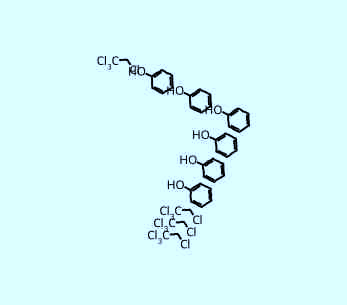 ClCC(Cl)(Cl)Cl.ClCC(Cl)(Cl)Cl.ClCC(Cl)(Cl)Cl.ClCC(Cl)(Cl)Cl.Oc1ccccc1.Oc1ccccc1.Oc1ccccc1.Oc1ccccc1.Oc1ccccc1.Oc1ccccc1